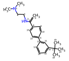 C=C(NCCN(C)C)c1ccc(-c2cccc(C(C)(C)C)c2)cc1